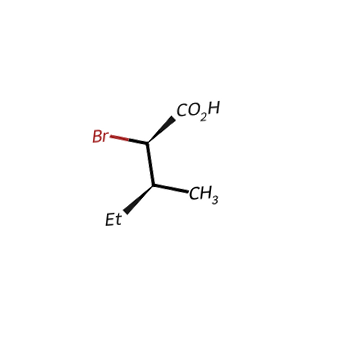 CC[C@H](C)[C@@H](Br)C(=O)O